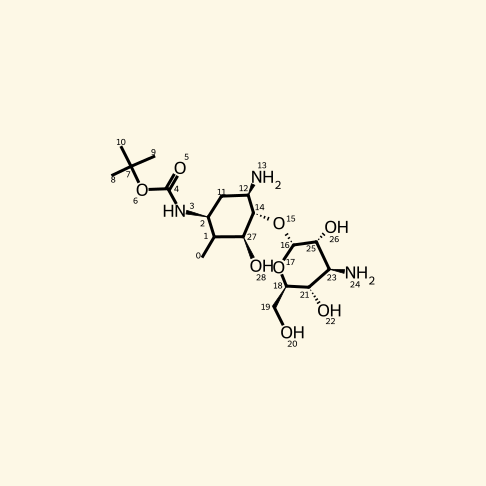 CC1[C@@H](NC(=O)OC(C)(C)C)C[C@@H](N)[C@H](O[C@H]2O[C@H](CO)[C@@H](O)[C@H](N)[C@H]2O)[C@H]1O